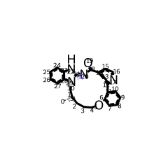 C[C@H]1CCCOc2ccccc2-c2cc(ccn2)C(=O)/N=C2\Nc3ccccc3N2C1